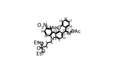 CCOP(=O)(CCCn1c2ccc(/C(=N/OC(C)=O)c3ccccc3OC)cc2c2cc([N+](=O)[O-])ccc21)OCC